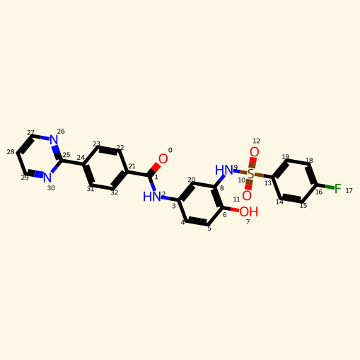 O=C(Nc1ccc(O)c(NS(=O)(=O)c2ccc(F)cc2)c1)c1ccc(-c2ncccn2)cc1